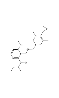 CCC(C)C(=O)C1=NC=CC(NC)/C1=C\NCC1=CC(C)=C(C2CC2)N(C)C1